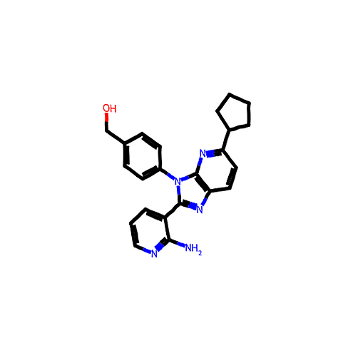 Nc1ncccc1-c1nc2ccc(C3CCCC3)nc2n1-c1ccc(CO)cc1